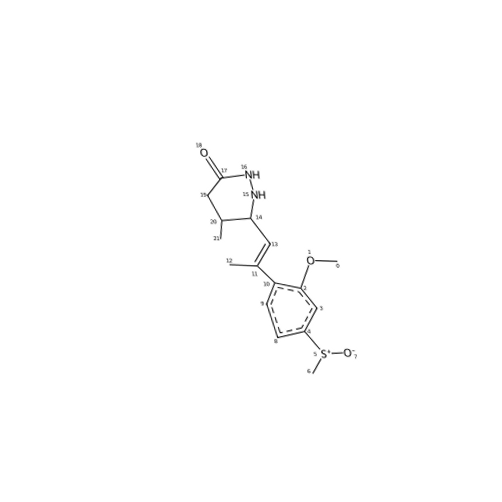 COc1cc([S+](C)[O-])ccc1/C(C)=C/C1NNC(=O)CC1C